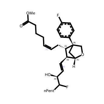 CCCCCC(F)[C@@H](O)/C=C/[C@@H]1[C@@H]2C[C@@](c3ccc(F)cc3)(CO2)[C@H]1C/C=C\CCCC(=O)OC